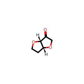 O=C1CO[C@@H]2CCO[C@H]12